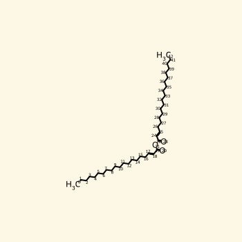 CCCCCCCCCCCCCCCCC/C=C/C(=O)OC(=O)/C=C/CCCCCCCCCCCCCCCCC